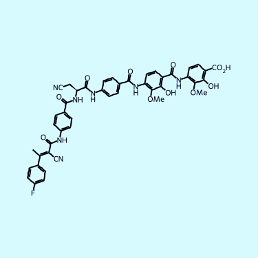 COc1c(NC(=O)c2ccc(NC(=O)c3ccc(NC(=O)[C@H](CC#N)NC(=O)c4ccc(NC(=O)/C(C#N)=C(\C)c5ccc(F)cc5)cc4)cc3)c(OC)c2O)ccc(C(=O)O)c1O